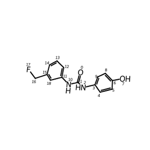 O=C(Nc1ccc(O)cc1)Nc1cccc(CF)c1